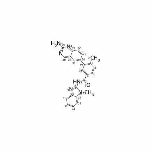 Cc1ccc(C(=O)Nc2nc3ccccc3n2C)cc1-c1ccc2nc(N)ncc2c1